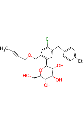 CC#CCOCc1cc(Cl)c(Cc2ccc(CC)cc2)cc1[C@@H]1O[C@H](CO)[C@@H](O)[C@H](O)[C@H]1O